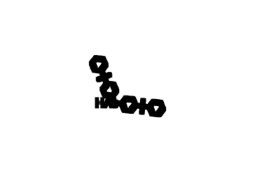 CC(C)(c1ccccc1)c1ccc([AsH]c2ccc(C(C)(C)c3ccccc3)cc2)cc1